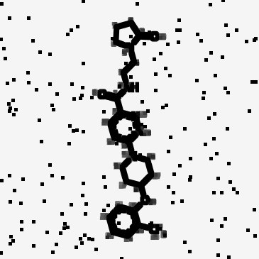 O=C(NCCN1CCCC1=O)c1ccc(N2CCC(Oc3ccccc3C(F)(F)F)CC2)nn1